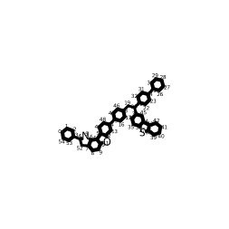 c1ccc(C2=Nc3c(ccc4oc5cc(-c6ccc(CC(c7ccc(-c8ccccc8)cc7)c7ccc8sc9ccccc9c8c7)cc6)ccc5c34)C2)cc1